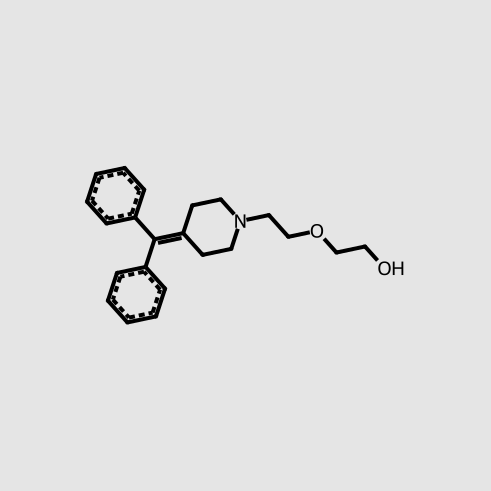 OCCOCCN1CCC(=C(c2ccccc2)c2ccccc2)CC1